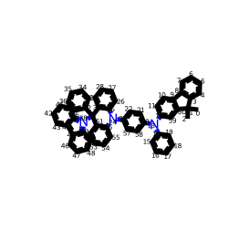 CC1(C)c2ccccc2-c2ccc(N(c3ccccc3)c3ccc(N4c5ccccc5C(c5ccccc5)(n5c6ccccc6c6ccccc65)c5ccccc54)cc3)cc21